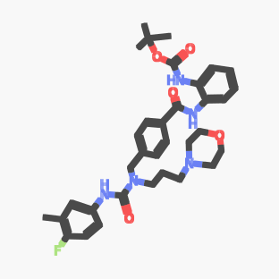 Cc1cc(NC(=O)N(CCCN2CCOCC2)Cc2ccc(C(=O)Nc3ccccc3NC(=O)OC(C)(C)C)cc2)ccc1F